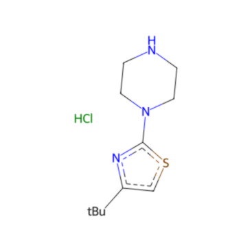 CC(C)(C)c1csc(N2CCNCC2)n1.Cl